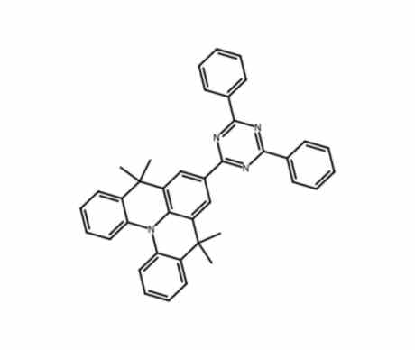 CC1(C)c2ccccc2N2c3ccccc3C(C)(C)c3cc(-c4nc(-c5ccccc5)nc(-c5ccccc5)n4)cc1c32